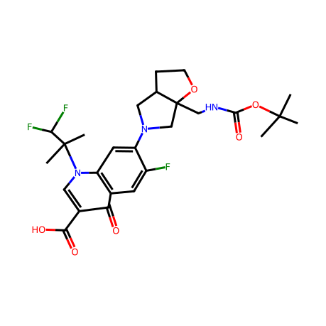 CC(C)(C)OC(=O)NCC12CN(c3cc4c(cc3F)c(=O)c(C(=O)O)cn4C(C)(C)C(F)F)CC1CCO2